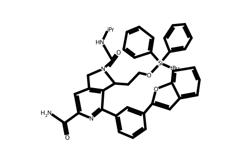 CC(C)NC(=O)N1Cc2cc(C(N)=O)nc(-c3cccc(-c4cc5ccccc5o4)c3)c2C1CCO[Si](c1ccccc1)(c1ccccc1)C(C)(C)C